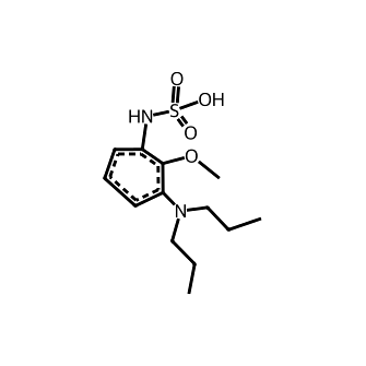 CCCN(CCC)c1cccc(NS(=O)(=O)O)c1OC